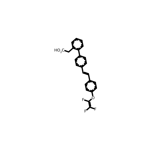 O=C(O)Cc1ccccc1-c1ccc(/C=C/c2ccc(OC(F)=C(F)F)cc2)cc1